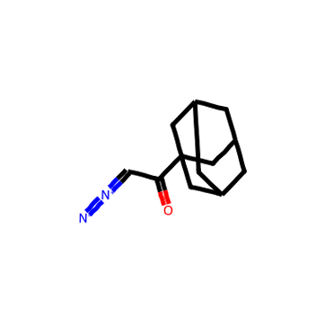 [N-]=[N+]=CC(=O)C12CC3CC(CC(C3)C1)C2